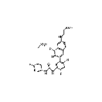 CCn1c(=O)c(-c2cc(NC(=O)Nc3ccc(F)cc3)c(F)cc2Cl)cc2cnc(NCCOC)cc21.CS(=O)(=O)O